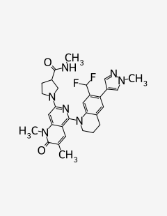 CNC(=O)C1CCN(c2cc3c(cc(C)c(=O)n3C)c(N3CCCc4cc(-c5cnn(C)c5)c(C(F)F)cc43)n2)C1